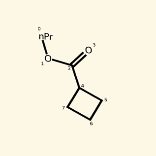 CCCOC(=O)C1CCC1